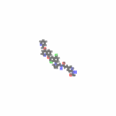 CC(=O)Nc1ccc(C=CC(=O)NCc2cccn2-c2ccc(Cl)c(CC(C)Oc3cccc4c(OCc5ccccn5)ccnc34)c2Cl)cn1